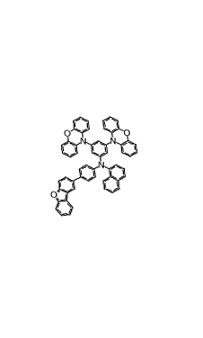 c1ccc2c(c1)Oc1ccccc1N2c1cc(N2c3ccccc3Oc3ccccc32)cc(N(c2ccc(-c3ccc4oc5ccccc5c4c3)cc2)c2cccc3ccccc23)c1